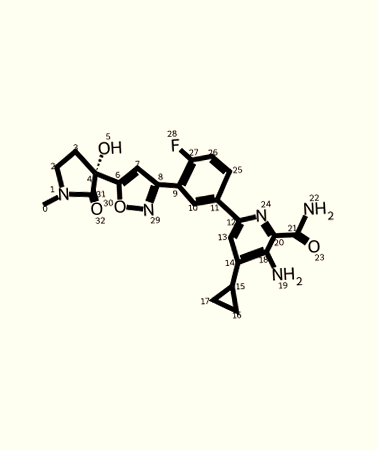 CN1CC[C@@](O)(c2cc(-c3cc(-c4cc(C5CC5)c(N)c(C(N)=O)n4)ccc3F)no2)C1=O